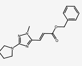 Cn1nc(N2CCCC2)nc1/C=C/C(=O)OCc1ccccc1